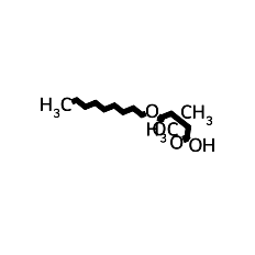 CCCCCCCCCOC(=O)CC(C)(C)CC(=O)O